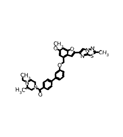 CCN1CCN(C(=O)c2ccc(-c3cccc(OCc4cc(OC)cc5oc(-c6cn7nc(C)sc7n6)cc45)c3)cc2)C[C@H]1C